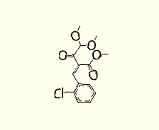 COC(=O)C(=Cc1ccccc1Cl)C(=O)C(OC)OC